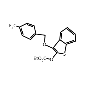 CCOC(=O)Oc1sc2ccccc2c1OCc1ccc(C(F)(F)F)cc1